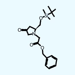 CC(C)(C)[Si](C)(C)OC[C@@H]1CC(=O)CN1CC(=O)OCc1ccccc1